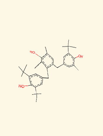 Cc1cc(Cc2cc(C)c(O)c(C)c2Cc2cc(C(C)(C)C)c(O)c(C(C)(C)C)c2)cc(C(C)(C)C)c1O